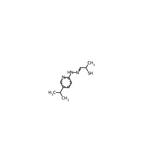 CC(S)/C=N/Nc1ccc(C(C)C)cn1